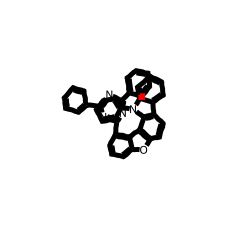 c1ccc(-c2nc(-c3ccccc3)nc(-c3cccc4oc5ccc6c7ccccc7n(-c7ccccc7)c6c5c34)n2)cc1